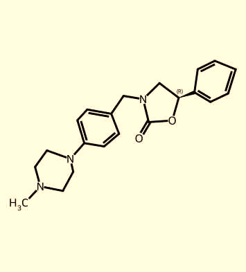 CN1CCN(c2ccc(CN3C[C@@H](c4ccccc4)OC3=O)cc2)CC1